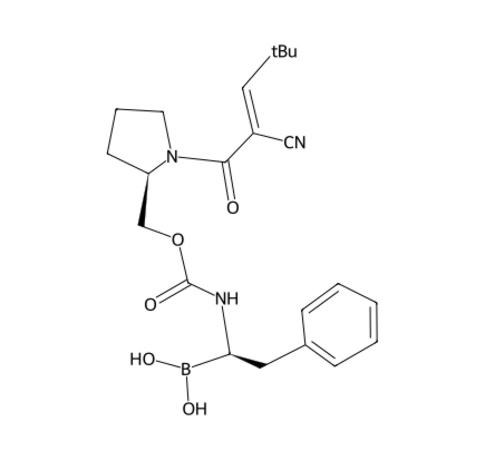 CC(C)(C)C=C(C#N)C(=O)N1CCC[C@@H]1COC(=O)N[C@@H](Cc1ccccc1)B(O)O